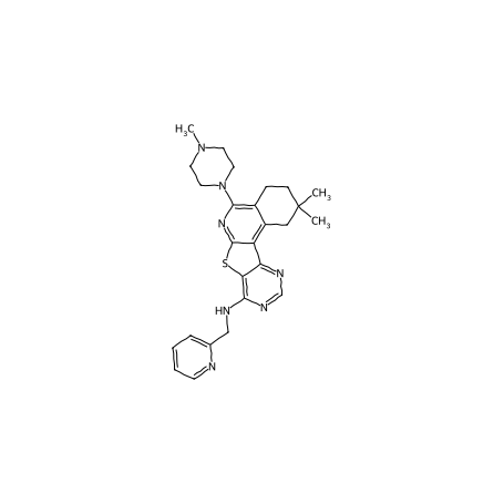 CN1CCN(c2nc3sc4c(NCc5ccccn5)ncnc4c3c3c2CCC(C)(C)C3)CC1